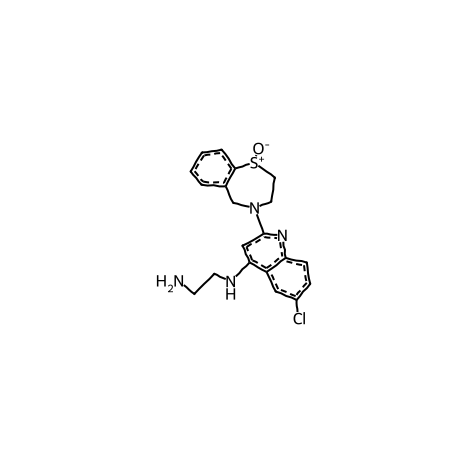 NCCNc1cc(N2CC[S+]([O-])c3ccccc3C2)nc2ccc(Cl)cc12